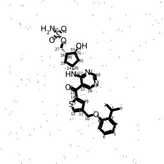 CC(C)c1ccccc1OCc1csc(C(=O)c2cncnc2N[C@@H]2C[C@H](COS(N)(=O)=O)[C@@H](O)C2)c1